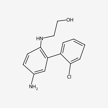 Nc1ccc(NCCO)c(-c2ccccc2Cl)c1